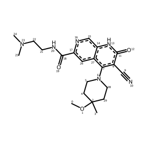 COC1(C)CCN(c2c(C#N)c(=O)[nH]c3cnc(C(=O)NCCN(C)C)cc23)CC1